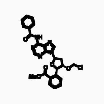 COC(=O)c1ccccc1[C@H]1O[C@@H](n2cnc3c(NC(=O)c4ccccc4)ncnc32)C[C@@H]1OCCl